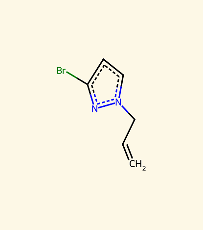 C=CCn1ccc(Br)n1